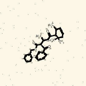 CC1C=CCC(C)(C)C1C(=O)CC(C)C(C(=O)OCc1ccccc1)C(=O)c1ccccc1